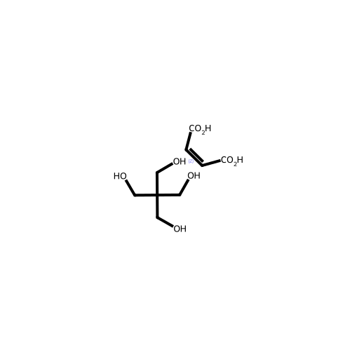 O=C(O)/C=C\C(=O)O.OCC(CO)(CO)CO